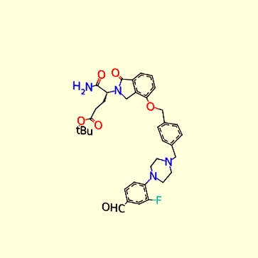 CC(C)(C)OC(=O)CC[C@@H](C(N)=O)N1Cc2c(OCc3ccc(CN4CCN(c5ccc(C=O)cc5F)CC4)cc3)cccc2C1=O